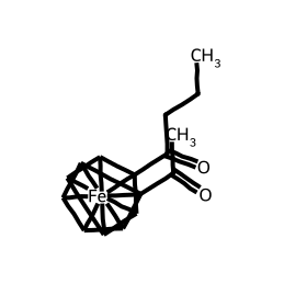 CCCC(=O)[C]12[CH]3[CH]4[CH]5[CH]1[Fe]45321678[CH]2[CH]1[CH]6[C]7(C(C)=O)[CH]28